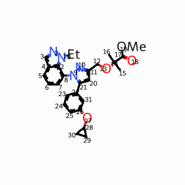 CCn1ncc2cccc(-n3nc(COC(C)(C)C(=O)OC)cc3-c3cccc(OC4CC4)c3)c21